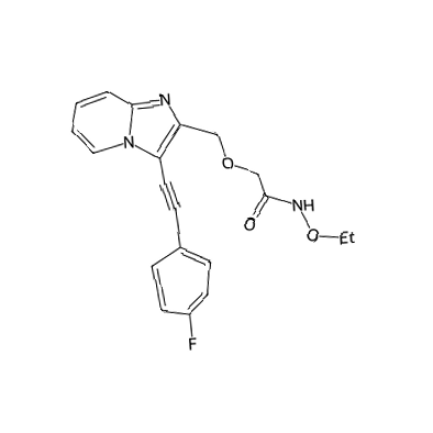 CCONC(=O)COCc1nc2ccccn2c1C#Cc1ccc(F)cc1